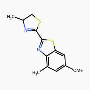 COc1cc(C)c2nc(C3=NC(C)CS3)sc2c1